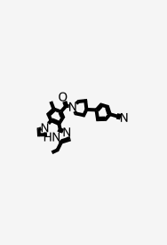 CCc1cnc(-c2cc(C(=O)N3CCC(c4ccc(C#N)cc4)CC3)c(C)cc2N2CCC2)[nH]1